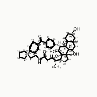 C[C@H](CCC(=O)NCC[N+]1(c2ccc(C(=O)c3ccccc3)cc2)CCCC1)[C@H]1CC[C@H]2[C@@H]3[C@H](O)C[C@@H]4C[C@H](O)CC[C@]4(C)[C@H]3C[C@H](O)[C@]12C